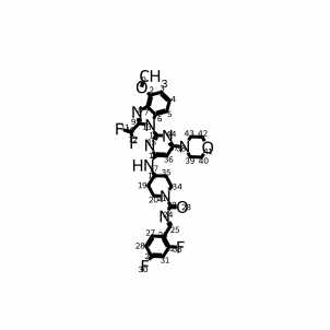 COc1cccc2c1nc(C(F)F)n2-c1nc(NC2CCN(C(=O)/N=C/c3ccc(F)cc3F)CC2)cc(N2CCOCC2)n1